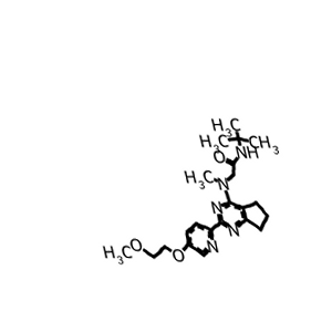 COCCOc1ccc(-c2nc3c(c(N(C)CC(=O)NC(C)(C)C)n2)CCC3)nc1